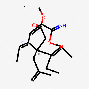 C=C(C)C[C@@](CC(=O)OC)(C(=CC)CC)C(/C=C\C(=N)OC)=C\C